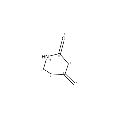 C=C1CCNC(=O)C1